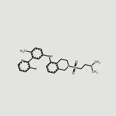 Cc1ccc(Nc2cccc3c2CCN(S(=O)(=O)CCN(C)C)C3)cc1-c1ncccc1F